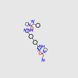 CN(C)CCC(=O)N1CCC[C@H]1c1ncc(-c2ccc(-c3ccc(-c4cnc([C@@H]5CCCN5C(=O)[C@@H](c5ccccc5)N(C)C)[nH]4)cc3)cc2)[nH]1